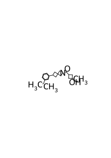 CC(C)c1cccc(C2CC3(C2)CN(C(=O)C2CC(C)(O)C2)C3)c1